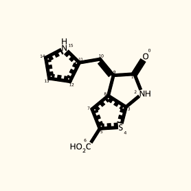 O=C1Nc2sc(C(=O)O)cc2C1=Cc1ccc[nH]1